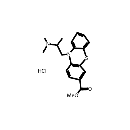 COC(=O)c1ccc2c(c1)Sc1ccccc1N2CC(C)N(C)C.Cl